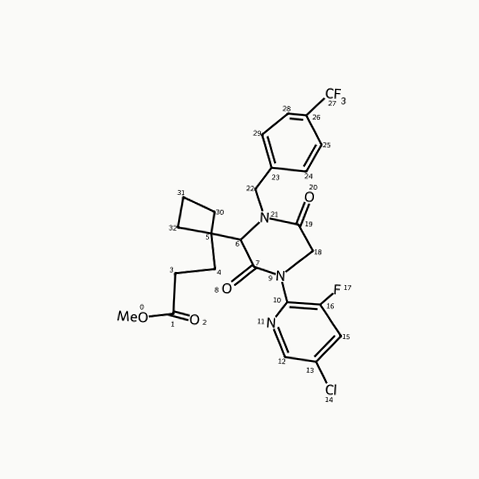 COC(=O)CCC1(C2C(=O)N(c3ncc(Cl)cc3F)CC(=O)N2Cc2ccc(C(F)(F)F)cc2)CCC1